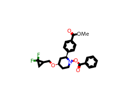 COC(=O)c1ccc([C@@H]2C[C@@H](OCC3CC3(F)F)CCN2OC(=O)c2ccccc2)cc1